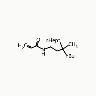 C=CC(=O)NCCC(C)(CCCC)CCCCCCC